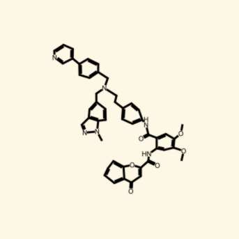 COc1cc(NC(=O)c2cc(=O)c3ccccc3o2)c(C(=O)Nc2ccc(CCN(Cc3ccc(-c4cccnc4)cc3)Cc3ccc4c(cnn4C)c3)cc2)cc1OC